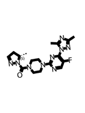 Cc1nc(C)n(-c2nc(N3CCN(C(=O)N4N=CC[C@@H]4C)CC3)ncc2F)n1